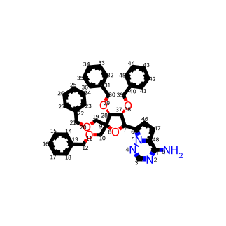 Nc1ncnn2c(C3OC(COCc4ccccc4)(COCc4ccccc4)[C@@H](OCc4ccccc4)[C@H]3OCc3ccccc3)ccc12